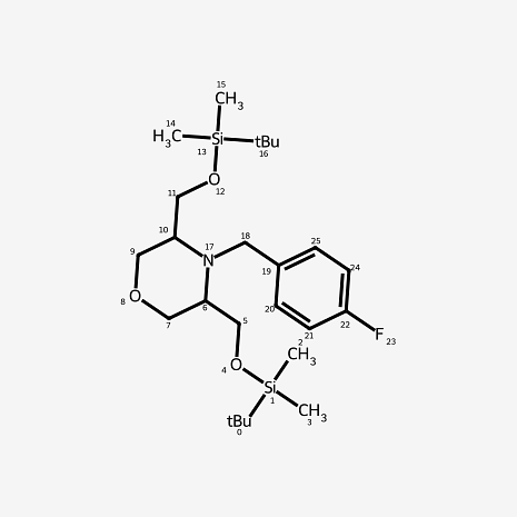 CC(C)(C)[Si](C)(C)OCC1COCC(CO[Si](C)(C)C(C)(C)C)N1Cc1ccc(F)cc1